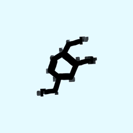 FCc1ccc(CF)c(Br)c1